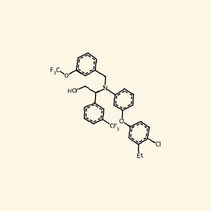 CCc1cc(Oc2cccc(N(Cc3cccc(OC(F)(F)F)c3)C(CO)c3cccc(C(F)(F)F)c3)c2)ccc1Cl